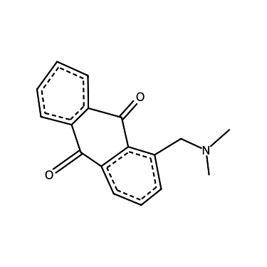 CN(C)Cc1cccc2c1C(=O)c1ccccc1C2=O